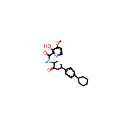 COc1ccnc(C(=O)N(C)C(C)C(=O)CC(C)c2ccc(C3CCCCC3)cc2)c1O